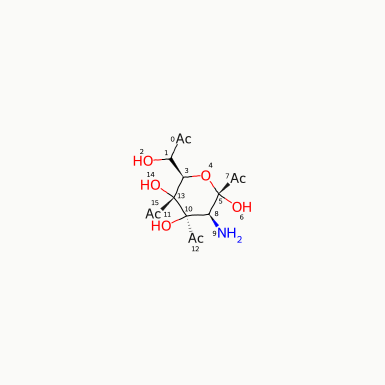 CC(=O)C(O)[C@H]1O[C@@](O)(C(C)=O)[C@@H](N)[C@](O)(C(C)=O)[C@@]1(O)C(C)=O